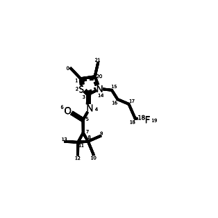 Cc1sc(=NC(=O)C2C(C)(C)C2(C)C)n(CCCC[18F])c1C